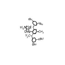 Cc1cc([C@H](C)c2cc(C(C)(C)C)cc(C(C)(C)C)c2)c(NC(=O)C(N)=O)c([C@H](C)c2cc(C(C)(C)C)cc(C(C)(C)C)c2)c1